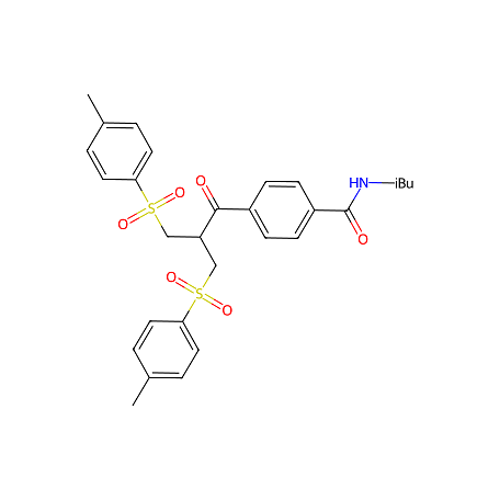 CCC(C)NC(=O)c1ccc(C(=O)C(CS(=O)(=O)c2ccc(C)cc2)CS(=O)(=O)c2ccc(C)cc2)cc1